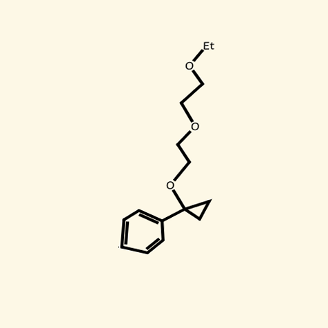 CCOCCOCCOC1(c2cc[c]cc2)CC1